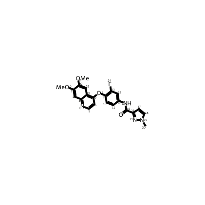 COc1cc2nccc(Oc3ccc(NC(=O)c4ccn(C)n4)cc3F)c2cc1OC